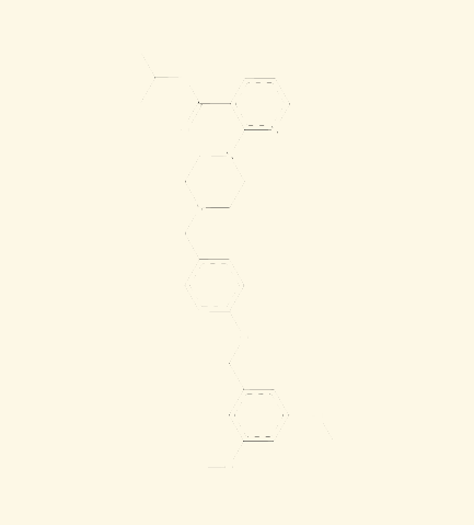 COc1cc(COc2ccc(CN3CCN(c4ncccc4C(=O)OC(C)C)CC3)cc2)cc(OC)c1